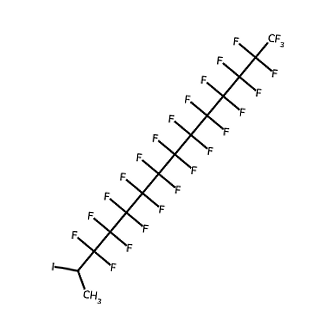 CC(I)C(F)(F)C(F)(F)C(F)(F)C(F)(F)C(F)(F)C(F)(F)C(F)(F)C(F)(F)C(F)(F)C(F)(F)C(F)(F)C(F)(F)F